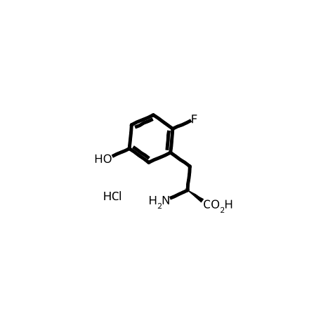 Cl.N[C@@H](Cc1cc(O)ccc1F)C(=O)O